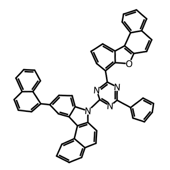 c1ccc(-c2nc(-c3cccc4c3oc3ccc5ccccc5c34)nc(-n3c4ccc(-c5cccc6ccccc56)cc4c4c5ccccc5ccc43)n2)cc1